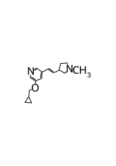 CN1CCC(/C=C/c2cncc(OCC3CC3)c2)C1